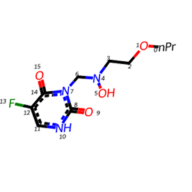 CCCOCCN(O)Cn1c(=O)[nH]cc(F)c1=O